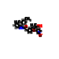 Cc1ccc(C(NC(=O)Cc2ccc3oc([C@](C)(O)c4cc[n+]([O-])cc4)cc3c2)c2ccccc2)c(C)c1